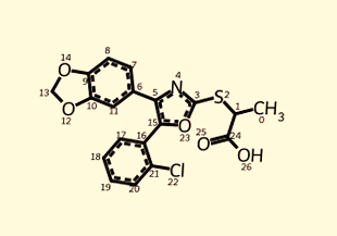 CC(Sc1nc(-c2ccc3c(c2)OCO3)c(-c2ccccc2Cl)o1)C(=O)O